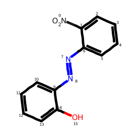 O=[N+]([O-])c1ccccc1/N=N/c1ccccc1O